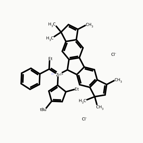 CC/[C](c1ccccc1)=[Zr+2](/[C]1=CC(C(C)(C)C)=CC1CC)[CH]1c2cc3c(cc2-c2cc4c(cc21)C(C)(C)C=C4C)C(C)=CC3(C)C.[Cl-].[Cl-]